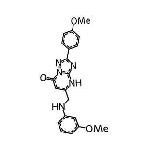 COc1ccc(-c2nc3[nH]c(CNc4cccc(OC)c4)cc(=O)n3n2)cc1